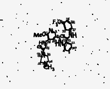 COc1ncc(CNc2ccccc2C(=O)Nc2cccc(C(F)(F)F)c2)cc1NCC(=O)N1CCN(C)CC1